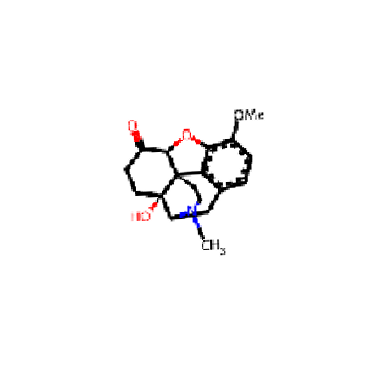 COc1ccc2c3c1OC1C(=O)CC[C@@]4(O)C(C2)N(C)CC[C@]314